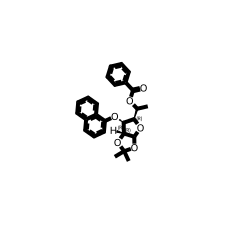 CC(OC(=O)c1ccccc1)[C@H]1OC2OC(C)(C)O[C@@H]2[C@@H]1Oc1cccc2ccccc12